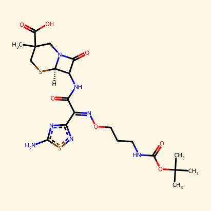 CC(C)(C)OC(=O)NCCCON=C(C(=O)NC1C(=O)N2CC(C)(C(=O)O)CS[C@H]12)c1nsc(N)n1